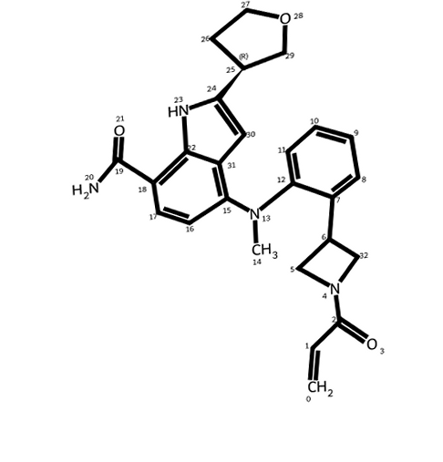 C=CC(=O)N1CC(c2ccccc2N(C)c2ccc(C(N)=O)c3[nH]c([C@H]4CCOC4)cc23)C1